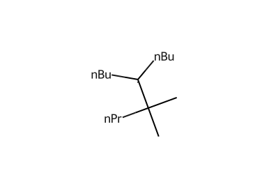 CCCC[C](CCCC)C(C)(C)CCC